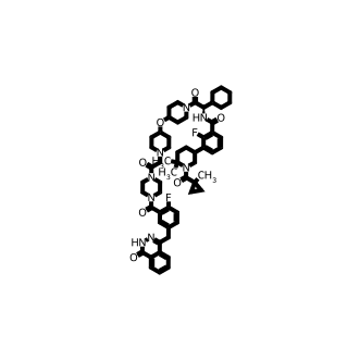 CC1(C(=O)N2CC(c3cccc(C(=O)N[C@@H](C(=O)N4CCC(OC5CCN(CC(=O)N6CCN(C(=O)c7cc(Cc8n[nH]c(=O)c9ccccc89)ccc7F)CC6)CC5)CC4)C4CCCCC4)c3F)CCC2(C)C)CC1